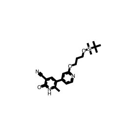 Cc1[nH]c(=O)c(C#N)cc1-c1ccnc(OCCCO[Si](C)(C)C(C)(C)C)c1